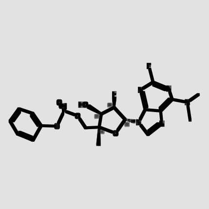 CN(C)c1nc(F)nc2c1ncn2[C@@H]1O[C@](C)(CO[PH](=O)Oc2ccccc2)[C@@H](O)[C@H]1F